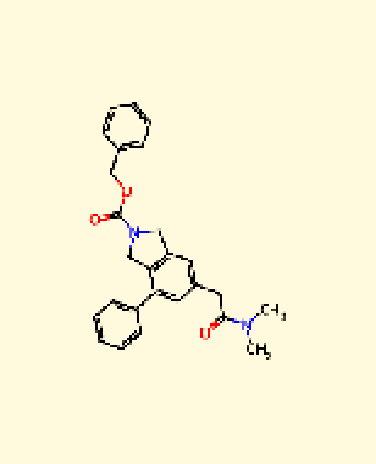 CN(C)C(=O)Cc1cc2c(c(-c3ccccc3)c1)CN(C(=O)OCc1ccccc1)C2